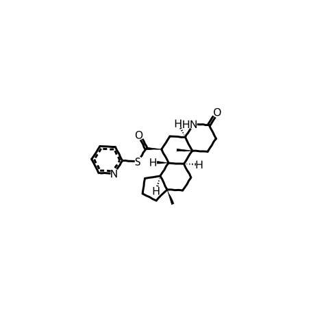 C[C@@]12CCC[C@H]1[C@@H]1[C@@H](C(=O)Sc3ccccn3)C[C@H]3NC(=O)CC[C@]3(C)[C@H]1CC2